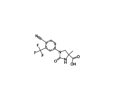 CC1(C(=O)O)CN(c2ccc(C#N)c(C(F)(F)F)c2)C(=O)N1